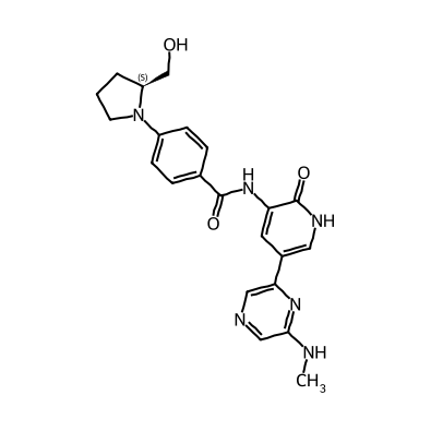 CNc1cncc(-c2c[nH]c(=O)c(NC(=O)c3ccc(N4CCC[C@H]4CO)cc3)c2)n1